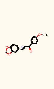 COc1ccc(C(=O)/C=C/c2ccc3c(c2)OCO3)cc1